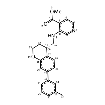 COC(=O)c1ccncc1NC[C@H]1CCOc2cc(-c3cccc(C)c3)ccc21